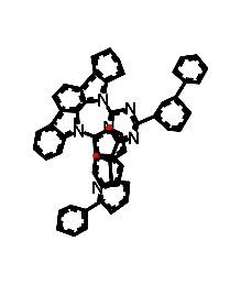 c1ccc(-c2cccc(-c3nc(-c4ccccc4)nc(-n4c5ccccc5c5ccc6c7ccccc7n(-c7cccc(-c8cccc(-c9ccccc9)n8)c7)c6c54)n3)c2)cc1